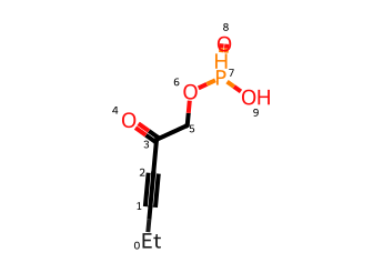 CCC#CC(=O)CO[PH](=O)O